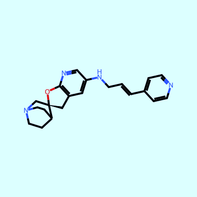 C(=C\c1ccncc1)/CNc1cnc2c(c1)C[C@@]1(CN3CCC1CC3)O2